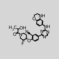 CC(O)C(=O)N1CC[C@H](Oc2ccc(-c3ncnc(Nc4ccc5c(c4)NCCO5)n3)cc2C#N)[C@H](F)C1